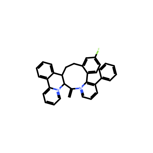 C=C1C2C(CCc3cc(F)ccc3-c3c(-c4ccccc4)ccc[n+]31)c1ccccc1-c1cccc[n+]12